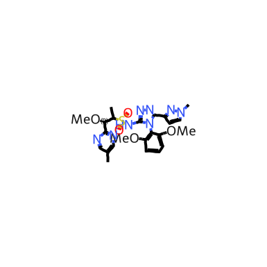 COc1cccc(OC)c1-n1c(NS(=O)(=O)C(C)[C@H](OC)c2ncc(C)cn2)nnc1-c1ccn(C)n1